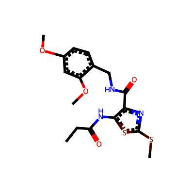 CCC(=O)Nc1sc(SC)nc1C(=O)NCc1ccc(OC)cc1OC